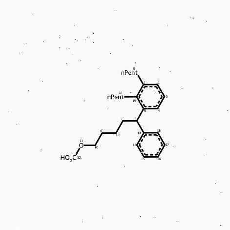 CCCCCc1cccc(C(CCCCOC(=O)O)c2ccccc2)c1CCCCC